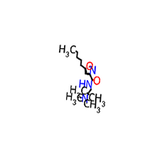 CCCCCc1cc(C(=O)NCC(C)(C)N(C)C)no1